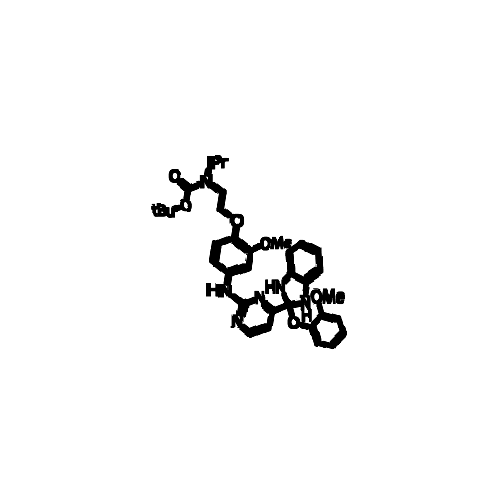 COc1cc(Nc2nccc(C3(Oc4ccccc4OC)Nc4ccccc4N3)n2)ccc1OCCN(C(=O)OC(C)(C)C)C(C)C